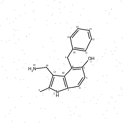 Cc1[nH]c2ccc(O)c(Cc3ccccc3)c2c1CN